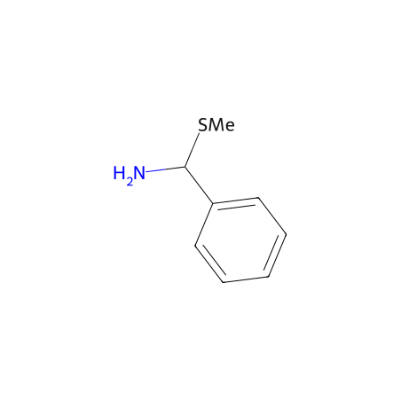 CSC(N)c1ccccc1